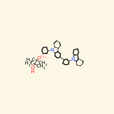 CC(C)(O)C(C)(C)OBc1cccc(N2c3ccc(-c4cccc(-n5c6c(c7ccccc75)C=CCC6)c4)cc3C3C=CC=CC32)c1